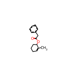 CC1=CCCCC1OC(=O)Cc1ccccc1